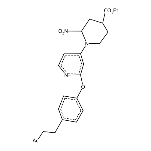 CCOC(=O)C1CCN(c2ccnc(Oc3ccc(CCC(C)=O)cc3)c2)C([N+](=O)[O-])C1